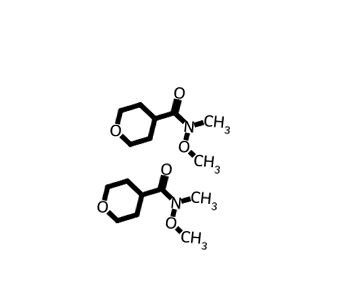 CON(C)C(=O)C1CCOCC1.CON(C)C(=O)C1CCOCC1